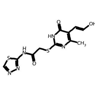 Cc1nc(SCC(=O)Nc2nncs2)[nH]c(=O)c1C=CO